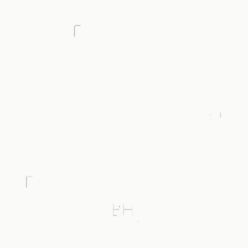 Bc1c(F)cc(F)cc1C=O